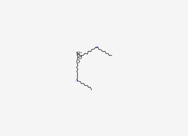 CCCCCCCC/C=C\CCCCCCCCOCC(C[N+](C)(C)C)OCCCCCCCC/C=C\CCCCCCCC